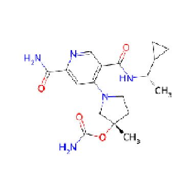 C[C@H](NC(=O)c1cnc(C(N)=O)cc1N1CC[C@](C)(OC(N)=O)C1)C1CC1